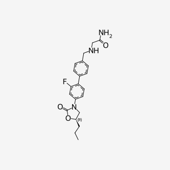 CCC[C@@H]1CN(c2ccc(-c3ccc(CNCC(N)=O)cc3)c(F)c2)C(=O)O1